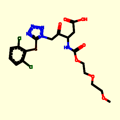 COCCOCCOC(=O)NC(CC(=O)O)C(=O)Cn1nnnc1Sc1c(Cl)cccc1Cl